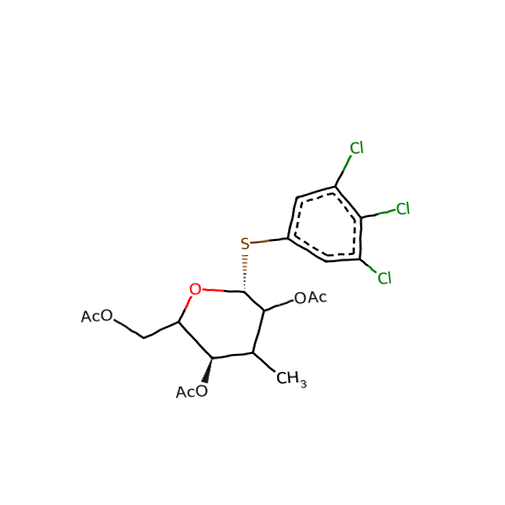 CC(=O)OCC1O[C@H](Sc2cc(Cl)c(Cl)c(Cl)c2)C(OC(C)=O)C(C)[C@H]1OC(C)=O